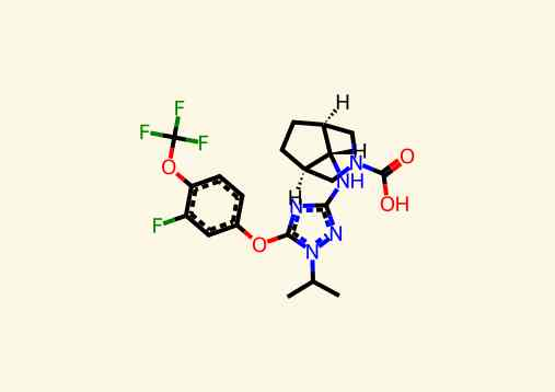 CC(C)n1nc(N[C@@H]2[C@@H]3CC[C@H]2CN(C(=O)O)C3)nc1Oc1ccc(OC(F)(F)F)c(F)c1